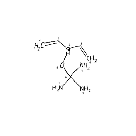 C=C[SiH](C=C)OC(N)(N)N